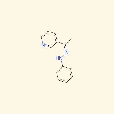 C/C(=N/Nc1ccccc1)c1cccnc1